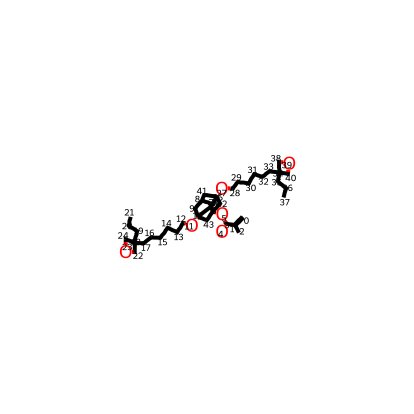 C=C(C)C(=O)OC12CC3CC(OCCCCCCC4(CCC)COC4)(CC(OCCCCCCC4(CCC)COC4)(C3)C1)C2